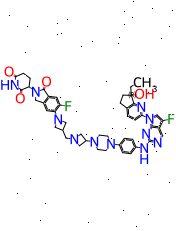 CC[C@@]1(O)CCc2ccc(-n3cc(F)c4cnc(Nc5ccc(N6CCN(C7CN(CC8CN(c9cc%10c(cc9F)C(=O)N(C9CCC(=O)NC9=O)C%10)C8)C7)CC6)cc5)nc43)nc21